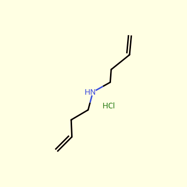 C=CCCNCCC=C.Cl